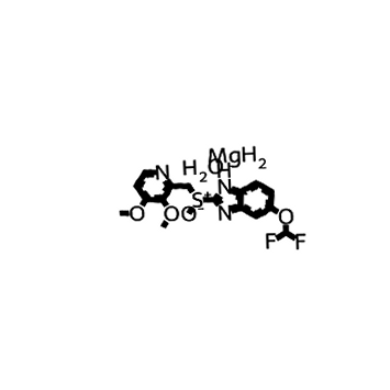 COc1ccnc(C[S+]([O-])c2nc3cc(OC(F)F)ccc3[nH]2)c1OC.O.[MgH2]